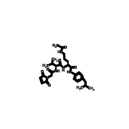 CC(C)Cc1ccc(NC(=O)[C@H](CCCNC(N)=O)NC(=O)[C@@H](NC(=O)CN2C(=O)C=CC2=O)C(C)C)cc1